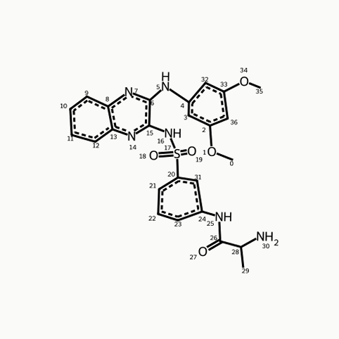 COc1cc(Nc2nc3ccccc3nc2NS(=O)(=O)c2cccc(NC(=O)C(C)N)c2)cc(OC)c1